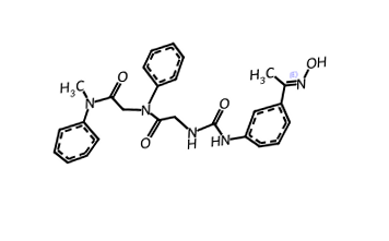 C/C(=N\O)c1cccc(NC(=O)NCC(=O)N(CC(=O)N(C)c2ccccc2)c2ccccc2)c1